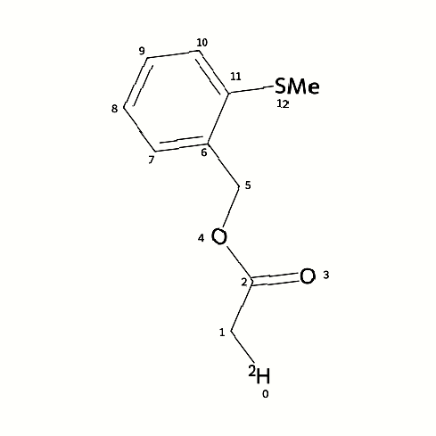 [2H]CC(=O)OCc1ccccc1SC